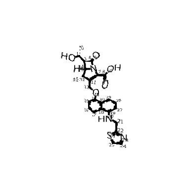 C[C@@H](O)[C@H]1C(=O)N2C(C(=O)O)=C(COc3cccc4c(NCc5nccs5)cccc34)[C@H](C)[C@H]12